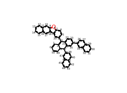 C1=CC2=C(c3ccc4oc5cc6ccccc6cc5c4c3)c3ccc(-c4ccc5ccccc5c4)cc3C(c3ccc4ccccc4c3)C2C=C1